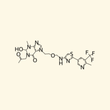 CC(=O)CN1C(=O)c2c(ncn2CCOCNc2csc(-c3cnc(C)c(C(F)(F)F)c3)n2)N(C)C1O